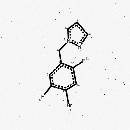 Fc1cc(Cn2cccn2)c(F)cc1Br